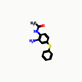 CC(=O)Nc1ccc(Sc2ccccc2)cc1N